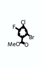 COC(=O)c1cc(F)c(Cl)cc1Br